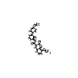 CCOc1ccc(-c2cccc(NC(=O)c3cc4cccc(OC(F)(F)F)c4oc3=O)c2)cc1